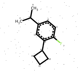 CC(C)c1ccc(F)c(C2CCC2)c1